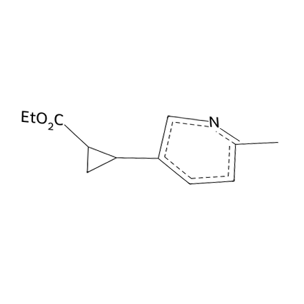 CCOC(=O)C1CC1c1ccc(C)nc1